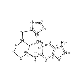 Cn1ccnc1CN1CCC[C@H](Nc2ccc3[nH]ncc3c2)C1